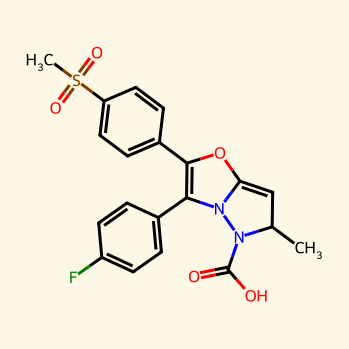 CC1C=C2OC(c3ccc(S(C)(=O)=O)cc3)=C(c3ccc(F)cc3)N2N1C(=O)O